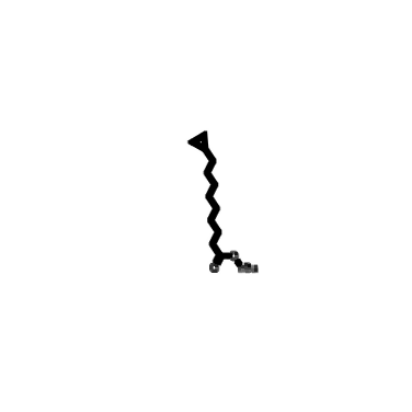 CCCCOC(=O)CCCCCCCCC1CC1